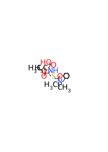 CCOC(=O)[C@H](CSCC(=O)N(Cc1ccccc1)C(C)C)N[C@H](C)C(=O)O